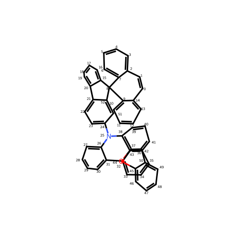 C1=Cc2ccccc2C2(c3ccccc31)c1ccccc1-c1ccc(N(c3ccccc3-c3ccccc3)c3cccc4c3oc3ccccc34)cc12